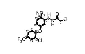 O=C(CCl)NNc1cc(Oc2ccc(C(F)(F)F)cc2Cl)ccc1[N+](=O)[O-]